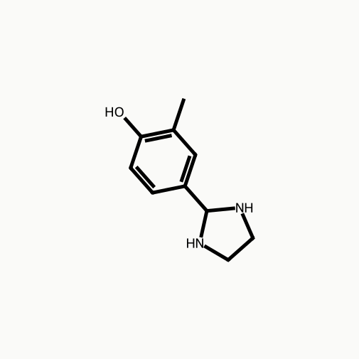 Cc1cc(C2NCCN2)ccc1O